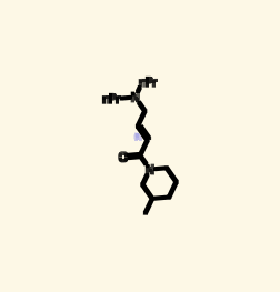 CCCN(C/C=C/C(=O)N1CCCC(C)C1)CCC